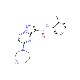 O=C(Nc1ccccc1Cl)c1cnn2ccc(N3CCCNCC3)nc12